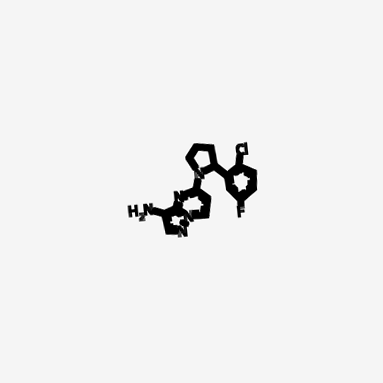 Nc1cnn2ccc(N3CCCC3c3cc(F)ccc3Cl)nc12